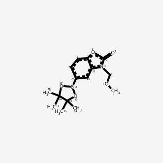 COCn1c(=O)oc2ccc(B3OC(C)(C)C(C)(C)O3)cc21